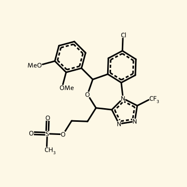 COc1cccc(C2OC(CCOS(C)(=O)=O)c3nnc(C(F)(F)F)n3-c3ccc(Cl)cc32)c1OC